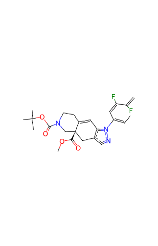 C=C(F)/C(F)=C\C(=C/C)n1ncc2c1C=C1CCN(C(=O)OC(C)(C)C)C[C@@]1(C(=O)OC)C2